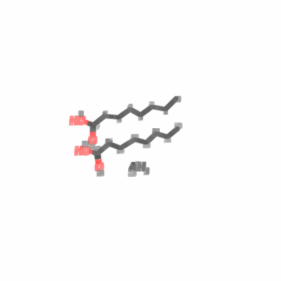 CCCCCCCC(=O)O.CCCCCCCC(=O)O.[AlH3]